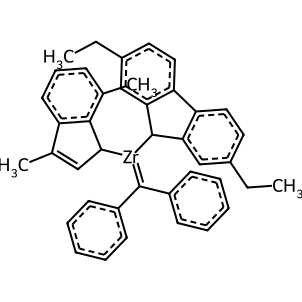 CCc1ccc2c(c1)[CH]([Zr](=[C](c1ccccc1)c1ccccc1)[CH]1C=C(C)c3cccc(C)c31)c1cc(CC)ccc1-2